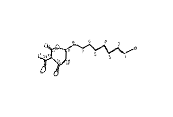 CCCCCCCCCC1CC(=O)C(C(C)=O)C(=O)O1